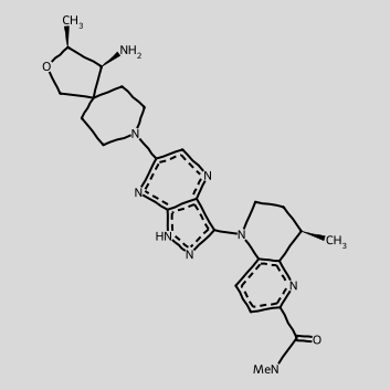 CNC(=O)c1ccc2c(n1)[C@H](C)CCN2c1n[nH]c2nc(N3CCC4(CC3)CO[C@@H](C)[C@H]4N)cnc12